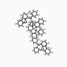 Cc1ccccc1N(c1ccc2cc3c(cc2c1)C1(c2ccccc2-c2c1ccc1ccccc21)c1c-3ccc2cc(N(c3ccccc3C)c3cccc4c3oc3ccccc34)ccc12)c1cccc2c1oc1ccccc12